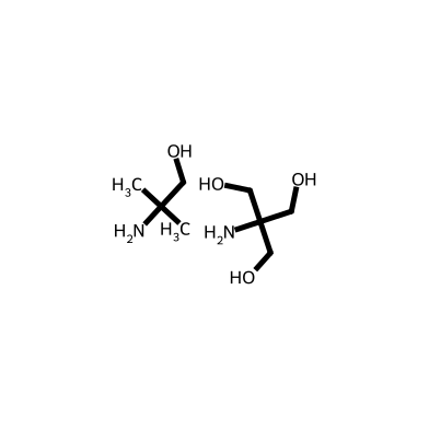 CC(C)(N)CO.NC(CO)(CO)CO